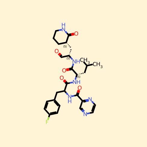 CC(C)C[C@H](NC(=O)C(Cc1ccc(F)cc1)NC(=O)c1cnccn1)C(=O)N[C@H](C=O)C[C@@H]1CCCNC1=O